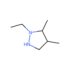 CCN1NCC(C)C1C